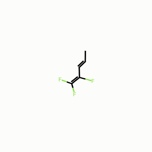 CC=CC(F)=C(F)F